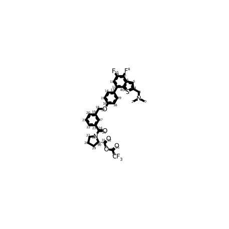 CN(C)Cc1cc2c(F)c(F)cc(-c3ccc(OCc4cccc(C(=O)N5CCC[C@H]5C(=O)OC(=O)C(F)(F)F)c4)cc3)c2s1